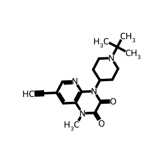 C#Cc1cnc2c(c1)n(C)c(=O)c(=O)n2C1CCN(C(C)(C)C)CC1